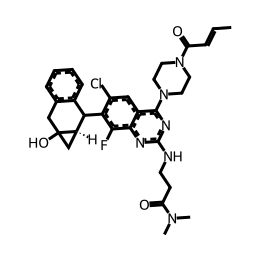 C/C=C/C(=O)N1CCN(c2nc(NCCC(=O)N(C)C)nc3c(F)c(C4c5ccccc5CC5(O)C[C@H]45)c(Cl)cc23)CC1